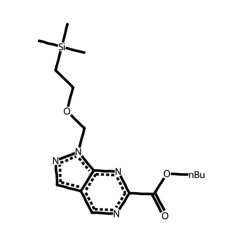 CCCCOC(=O)c1ncc2cnn(COCC[Si](C)(C)C)c2n1